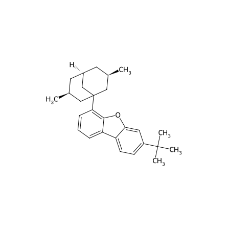 C[C@@H]1C[C@@H]2C[C@H](C)CC(c3cccc4c3oc3cc(C(C)(C)C)ccc34)(C1)C2